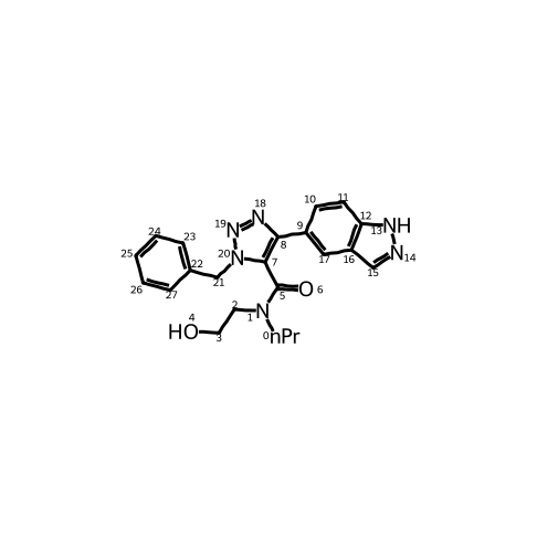 CCCN(CCO)C(=O)c1c(-c2ccc3[nH]ncc3c2)nnn1Cc1ccccc1